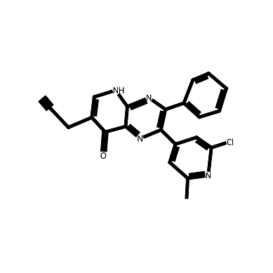 C#CCc1c[nH]c2nc(-c3ccccc3)c(-c3cc(C)nc(Cl)c3)nc2c1=O